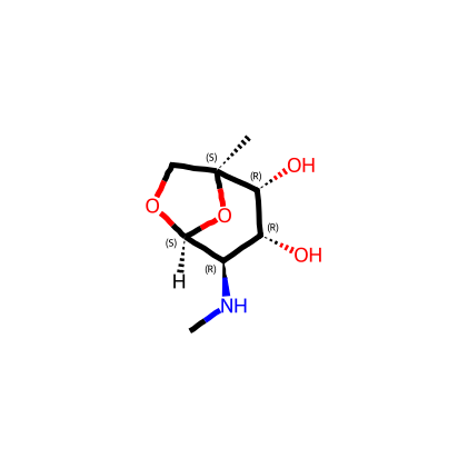 CN[C@H]1[C@H]2OC[C@](C)(O2)[C@H](O)[C@@H]1O